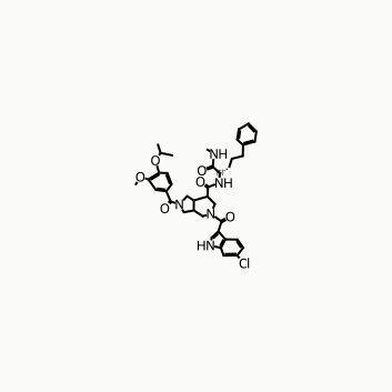 CNC(=O)[C@H](CCCc1ccccc1)NC(=O)C1CN(C(=O)c2c[nH]c3cc(Cl)ccc23)CC2CN(C(=O)c3ccc(OC(C)C)c(OC)c3)CC21